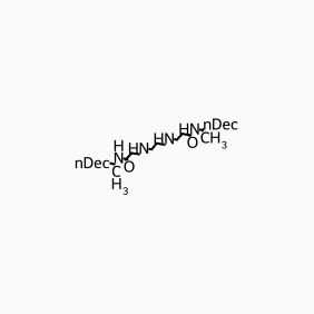 CCCCCCCCCCC(C)NC(=O)CCNCCCNCCC(=O)NC(C)CCCCCCCCCC